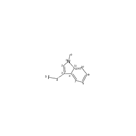 Cn1cc(CI)c2ccccc21